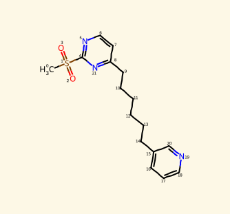 CS(=O)(=O)c1nccc(CCCCCCc2cccnc2)n1